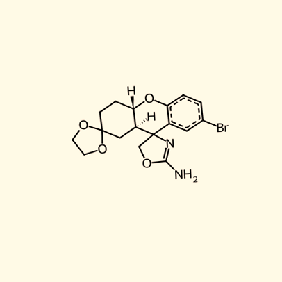 NC1=NC2(CO1)c1cc(Br)ccc1O[C@H]1CCC3(C[C@@H]12)OCCO3